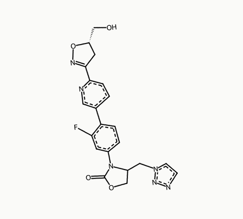 O=C1OCC(Cn2ccnn2)N1c1ccc(-c2ccc(C3=NO[C@H](CO)C3)nc2)c(F)c1